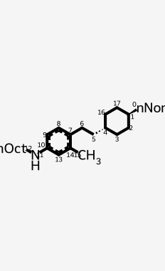 CCCCCCCCC[C@H]1CC[C@H](CCc2ccc(NCCCCCCCC)cc2C)CC1